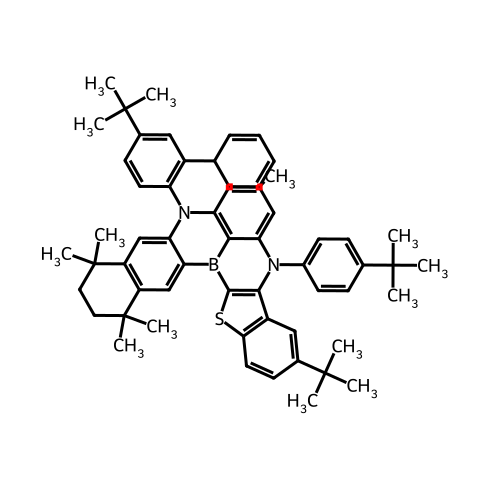 Cc1cc2c3c(c1)N(c1ccc(C(C)(C)C)cc1)c1c(sc4ccc(C(C)(C)C)cc14)B3c1cc3c(cc1N2c1ccc(C(C)(C)C)cc1C1C=CC=CC1)C(C)(C)CCC3(C)C